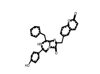 O=c1ccc2cc(Cc3nc4c(Cc5ccccc5)[nH]c(-c5ccc(O)cc5)cn-4c3=O)ccc2o1